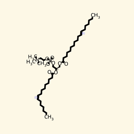 CCCCCC/C=C\CCCCCCCC(=O)O[C@H](COC(=O)CCCCCCCCC/C=C/CCCCCC)COP(=O)([O-])OCC[N+](C)(C)C